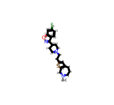 CC(=O)N1CCCc2cc(CCN3CCC(c4noc5cc(F)ccc45)CC3)sc2C1